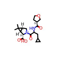 CC1(C)[C@@H]2[C@@H](C(=O)O)N(C(=O)C(CC3CC3)NC(=O)[C@H]3CCOC3)C[C@@H]21